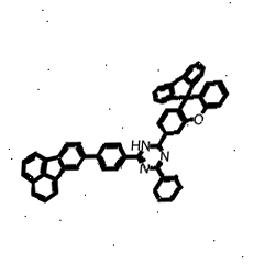 C1=CCCC(C2=NC(C3C=CC4=C(C3)Oc3ccccc3C43c4ccccc4-c4ccccc43)NC(c3ccc(-c4ccc5c(c4)-c4cccc6cccc-5c46)cc3)=N2)=C1